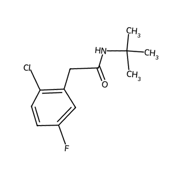 CC(C)(C)NC(=O)Cc1cc(F)ccc1Cl